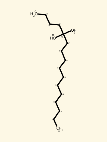 CCCCCCCCCCCC(O)(O)CCCC